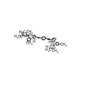 COC(=O)N[C@H](C(=O)N1C[C@@H](C)C[C@H]1c1ncc(C#Cc2ccc(C#Cc3cnc([C@@H]4C[C@H](C)CN4C(=O)OC(C)(C)C)[nH]3)cc2)[nH]1)C(C)C